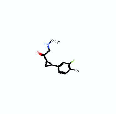 N#Cc1ccc(C2CC2C(=O)CNC(=O)O)cc1F